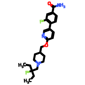 CCC(F)(CC)CN1CCC(COc2ccc(-c3ccc(C(N)=O)cc3F)cn2)CC1